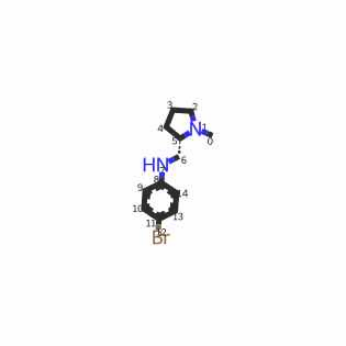 CN1CCC[C@H]1CNc1ccc(Br)cc1